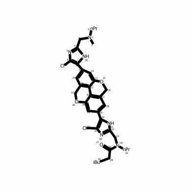 CCCN(C)Cc1nc(Cl)c(-c2cc3c4c(c2)OCc2cc(-c5[nH]c(CN(CCC)C(=O)CC(C)CC)nc5Cl)cc(c2-4)OC3)[nH]1